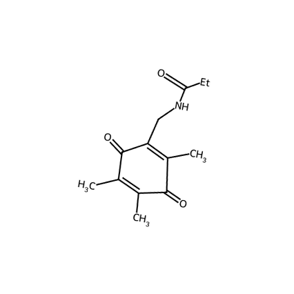 CCC(=O)NCC1=C(C)C(=O)C(C)=C(C)C1=O